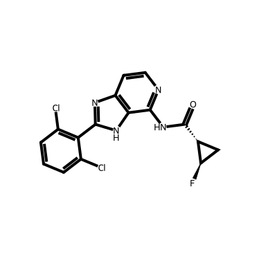 O=C(Nc1nccc2nc(-c3c(Cl)cccc3Cl)[nH]c12)[C@@H]1C[C@H]1F